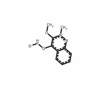 COc1c(OP[O-])c2ccccc2n[n+]1C